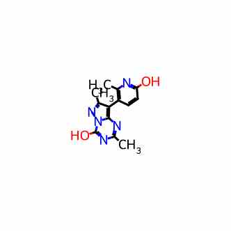 Cc1nc(O)n2nc(C)c(-c3ccc(O)nc3C)c2n1